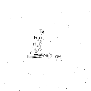 N#[SiH].O.O.O.O.O.[Ta]